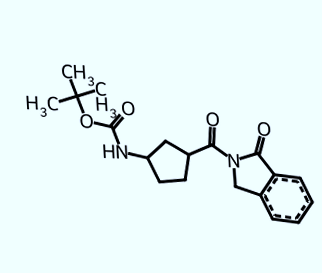 CC(C)(C)OC(=O)NC1CCC(C(=O)N2Cc3ccccc3C2=O)C1